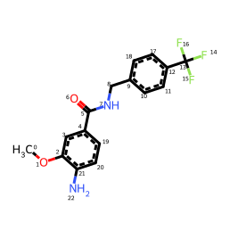 COc1cc(C(=O)NCc2ccc(C(F)(F)F)cc2)ccc1N